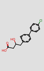 O=C(O)CC(O)Cc1ccc(-c2ccc(Cl)cc2)cc1